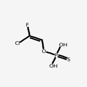 OP(O)(=S)OC=C(F)Cl